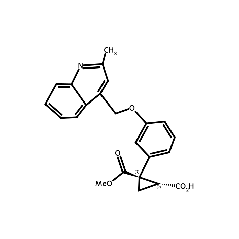 COC(=O)[C@]1(c2cccc(OCc3cc(C)nc4ccccc34)c2)C[C@H]1C(=O)O